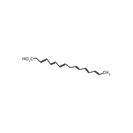 C/C=C/C=C/C=C/C/C=C/C=C/C=C/CC(=O)O